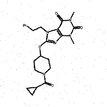 CC(C)CCn1c(OC2CCN(C(=O)C3CC3)CC2)nc2c1c(=O)n(C)c(=O)n2C